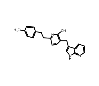 Cc1ccc(CCc2ccc(Cc3c[nH]c4ncccc34)c(O)n2)cc1